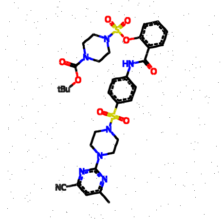 Cc1cc(C#N)nc(N2CCN(S(=O)(=O)c3ccc(NC(=O)c4ccccc4OS(=O)(=O)N4CCN(C(=O)OC(C)(C)C)CC4)cc3)CC2)n1